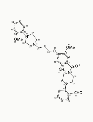 COc1cc(C(=O)N2CCN(c3ccccc3C=O)CC2)c(N)cc1OCCCN1CCN(c2ccccc2OC)CC1